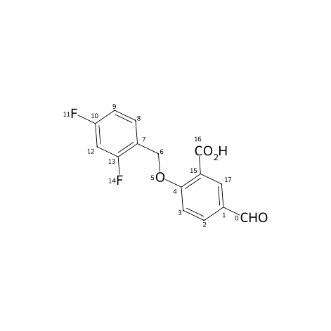 O=Cc1ccc(OCc2ccc(F)cc2F)c(C(=O)O)c1